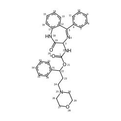 O=C(NC1N=C(c2ccccc2)c2ccccc2NC1=O)OC(CCN1CCOCC1)c1ccccc1